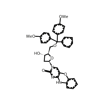 COc1ccc(C(OC[C@H]2O[C@@H](n3cc4c(nc3=O)Nc3ccccc3O4)C[C@@H]2O)(c2ccccc2)c2ccc(OC)cc2)cc1